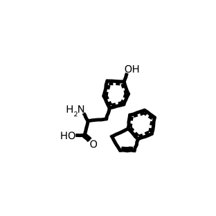 C1=Cc2ccccc2C1.NC(Cc1ccc(O)cc1)C(=O)O